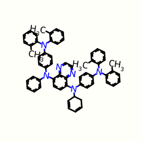 Cc1ccccc1N(c1ccc(N(c2ccccc2)c2ccc(N(c3ccc(N(c4ccccc4C)c4ccccc4C)cc3)C3C=CC=CC3)c3nccnc23)cc1)c1ccccc1C